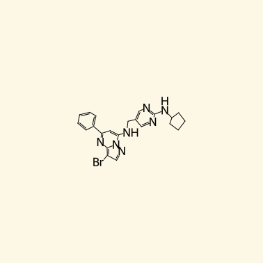 Brc1cnn2c(NCc3cnc(NC4CCCC4)nc3)cc(-c3ccccc3)nc12